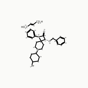 CC(C)C1CCC(N2CCC3(CC2)[C@@H](OCc2ccccc2)C(=O)N3c2ccccc2)CC1.O=C(O)/C=C/C(=O)O